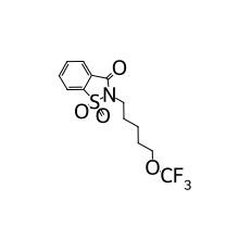 O=C1c2ccccc2S(=O)(=O)N1CCCCCOC(F)(F)F